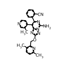 Cc1ccc(C)c(COc2nc3c(-c4ccncc4C)c(-c4ccccc4C#N)nc(N)n3n2)n1